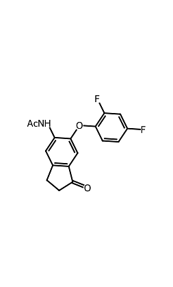 CC(=O)Nc1cc2c(cc1Oc1ccc(F)cc1F)C(=O)CC2